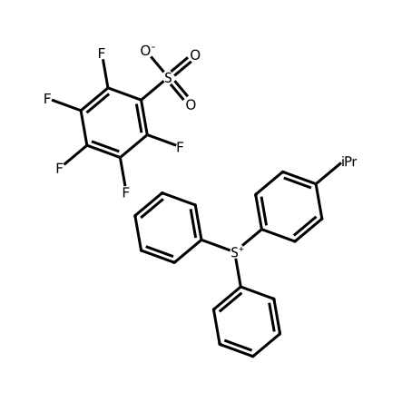 CC(C)c1ccc([S+](c2ccccc2)c2ccccc2)cc1.O=S(=O)([O-])c1c(F)c(F)c(F)c(F)c1F